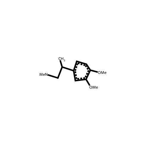 CNCC(C)c1ccc(OC)c(OC)c1